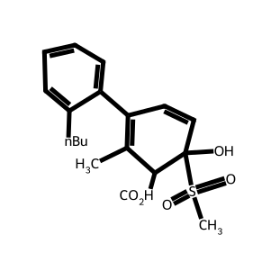 CCCCc1ccccc1C1=C(C)C(C(=O)O)C(O)(S(C)(=O)=O)C=C1